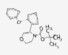 CC(C)(C)OC(=O)N1CCOC=C1c1ccccc1Oc1ccccc1